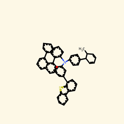 CC1C=CC=CC1c1ccc(N(c2cccc(-c3cccc4c3sc3ccccc34)c2)c2ccccc2-c2cccc3cccc(-c4ccccc4)c23)cc1